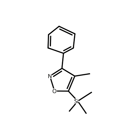 Cc1c(-c2ccccc2)noc1[Si](C)(C)C